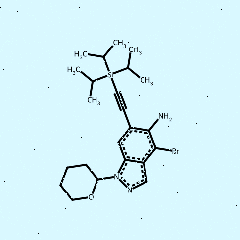 CC(C)[Si](C#Cc1cc2c(cnn2C2CCCCO2)c(Br)c1N)(C(C)C)C(C)C